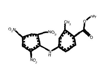 CCCOC(=O)c1ccc(Nc2c([N+](=O)[O-])cc([N+](=O)[O-])cc2[N+](=O)[O-])cc1C